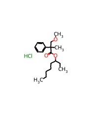 CCCCCC(CC)OC(=O)C(C)(COC)c1ccccc1.Cl